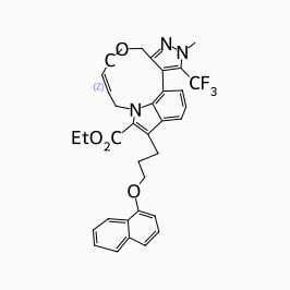 CCOC(=O)c1c(CCCOc2cccc3ccccc23)c2cccc3c2n1C/C=C\COCc1nn(C)c(C(F)(F)F)c1-3